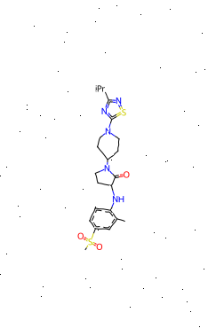 Cc1cc(S(C)(=O)=O)ccc1NC1CCN(C2CCN(c3nc(C(C)C)ns3)CC2)C1=O